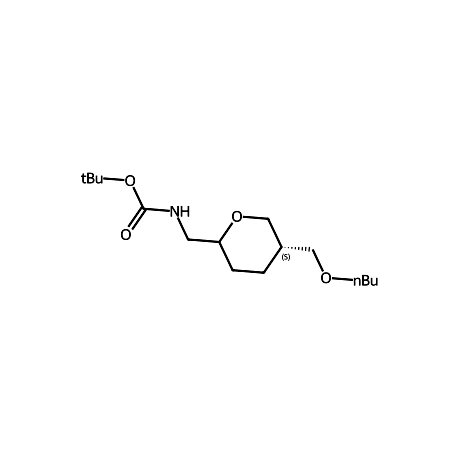 CCCCOC[C@@H]1CCC(CNC(=O)OC(C)(C)C)OC1